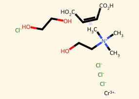 C[N+](C)(C)CCO.O=C(O)/C=C\C(=O)O.OCCO.[Cl-].[Cl-].[Cl-].[Cl-].[Cr+3]